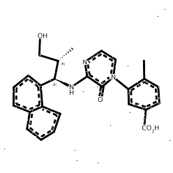 Cc1ccc(C(=O)O)cc1-n1ccnc(N[C@@H](c2cccc3ccccc23)[C@@H](C)CO)c1=O